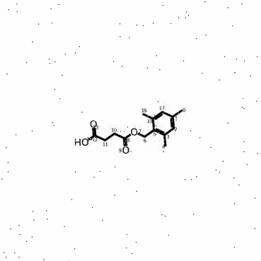 Cc1cc(C)c(COC(=O)CCC(=O)O)c(C)c1